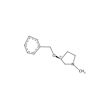 CN1CC[C@H](OCc2ccccc2)C1